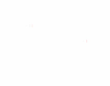 Cc1ccc(O)cc1Cc1cc(O)ccc1C